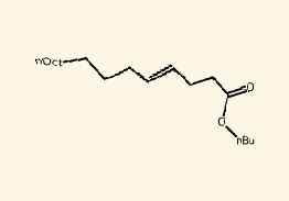 CCCCCCCCCCCC=CCCC(=O)OCCCC